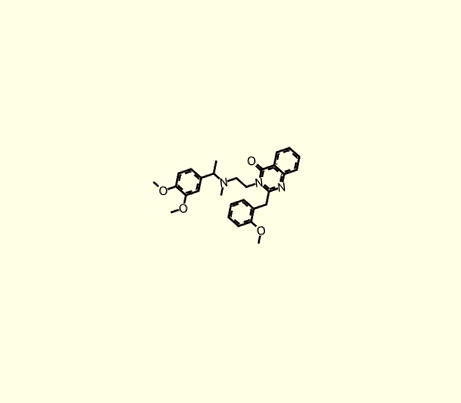 COc1ccccc1Cc1nc2ccccc2c(=O)n1CCN(C)C(C)c1ccc(OC)c(OC)c1